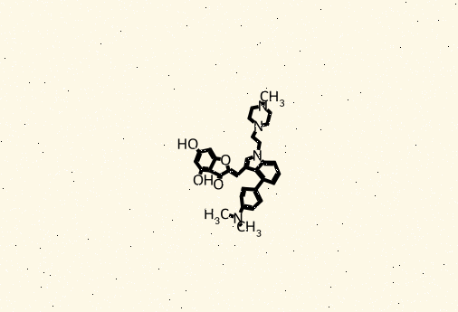 CN1CCN(CCn2cc(/C=C3\Oc4cc(O)cc(O)c4C3=O)c3c(-c4ccc(N(C)C)cc4)cccc32)CC1